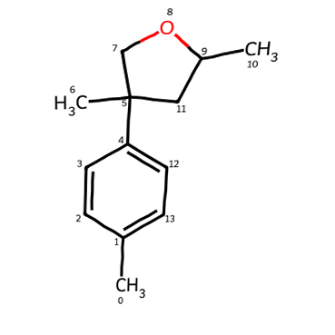 Cc1ccc(C2(C)COC(C)C2)cc1